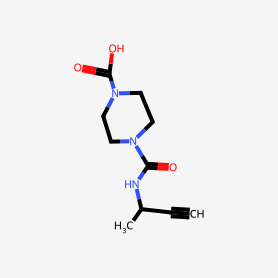 C#CC(C)NC(=O)N1CCN(C(=O)O)CC1